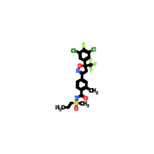 CCCS(C)(=O)=NC(=O)c1ccc(C2=NOC(c3cc(Cl)c(F)c(Cl)c3)(C(F)(F)F)C2)cc1C